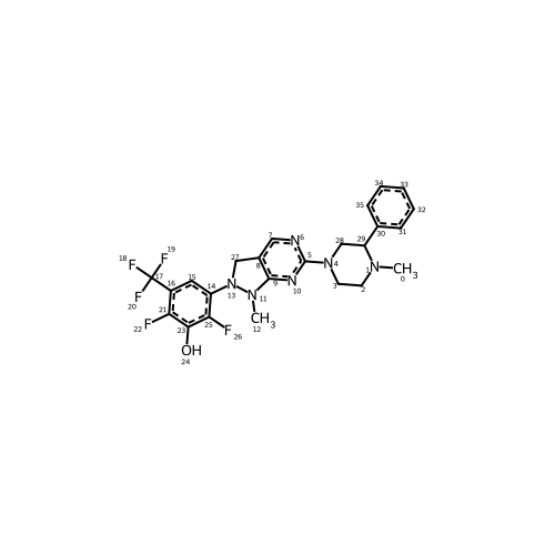 CN1CCN(c2ncc3c(n2)N(C)N(c2cc(C(F)(F)F)c(F)c(O)c2F)C3)CC1c1ccccc1